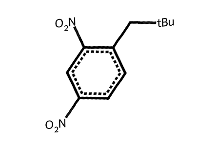 CC(C)(C)Cc1ccc([N+](=O)[O-])cc1[N+](=O)[O-]